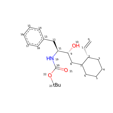 C=C[C@@H]1CCCCC1C[C@@H](O)[C@H](Cc1ccccc1)NC(=O)OC(C)(C)C